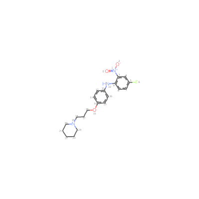 O=[N+]([O-])c1cc(F)ccc1Nc1ccc(OCCCN2CCCCC2)cc1